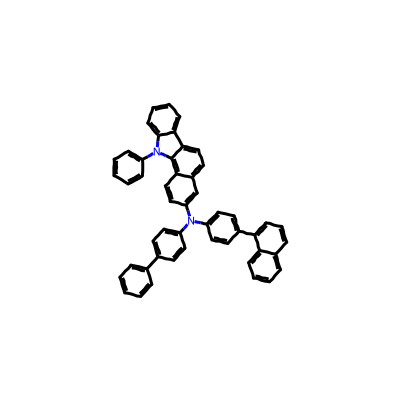 c1ccc(-c2ccc(N(c3ccc(-c4cccc5ccccc45)cc3)c3ccc4c(ccc5c6ccccc6n(-c6ccccc6)c45)c3)cc2)cc1